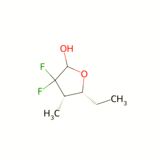 CC[C@H]1OC(O)C(F)(F)[C@H]1C